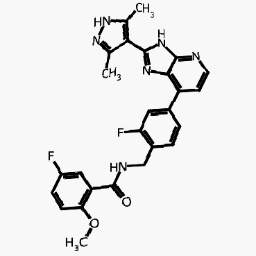 COc1ccc(F)cc1C(=O)NCc1ccc(-c2ccnc3[nH]c(-c4c(C)n[nH]c4C)nc23)cc1F